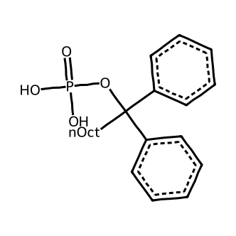 CCCCCCCCC(OP(=O)(O)O)(c1ccccc1)c1ccccc1